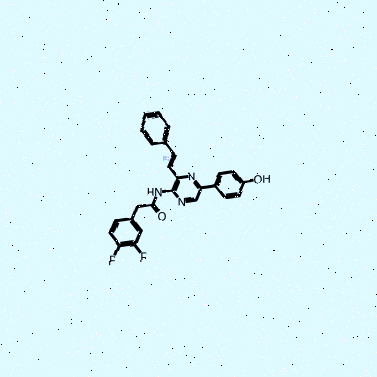 O=C(Cc1ccc(F)c(F)c1)Nc1ncc(-c2ccc(O)cc2)nc1/C=C/c1ccccc1